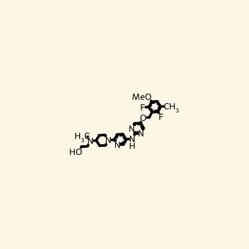 COc1cc(C)c(F)c(COc2cnc(Nc3ccc(N4CCC(N(C)CCO)CC4)nc3)nc2)c1F